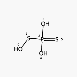 OSP(O)(O)=S